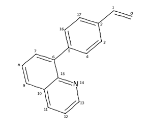 C=Cc1ccc(-c2cccc3cccnc23)cc1